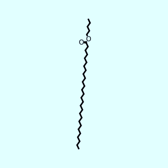 CCCCCCCCCCCCCCCCCCCCCCCCCCCC(=O)OCCCCC